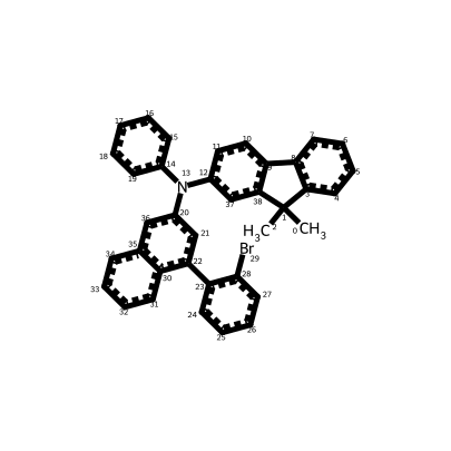 CC1(C)c2ccccc2-c2ccc(N(c3ccccc3)c3cc(-c4ccccc4Br)c4ccccc4c3)cc21